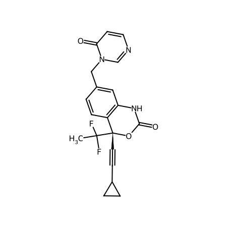 CC(F)(F)[C@@]1(C#CC2CC2)OC(=O)Nc2cc(Cn3cnccc3=O)ccc21